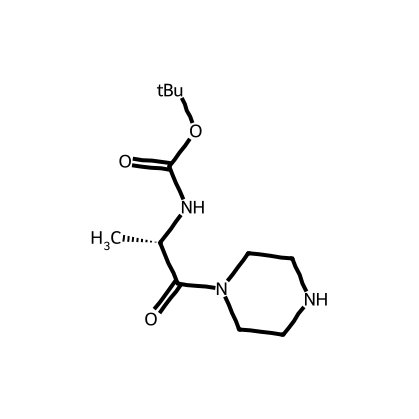 C[C@H](NC(=O)OC(C)(C)C)C(=O)N1CCNCC1